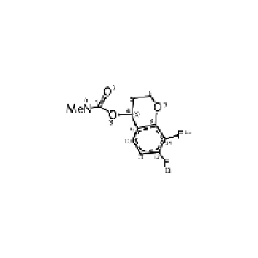 CNC(=O)O[C@H]1CCOc2c1ccc(F)c2F